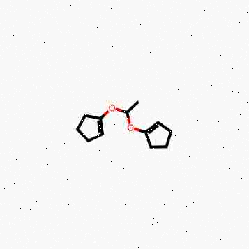 C[C](OC1=CCCC1)OC1=CCCC1